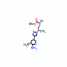 Bc1cc(-c2cnn(C(C)CCN(CC)C(=O)OC(C)(C)C)c2)cnc1N